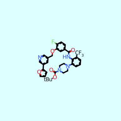 CC(C)(C)OC(=O)N1CCN(c2cccc(C(F)(F)F)c2NC(=O)c2ccc(F)c(OCc3cncc(-c4ccco4)c3)c2)CC1